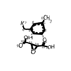 Cc1cccc([CH2][K])c1.O=C(O)C1OC1C(=O)O